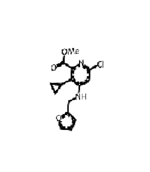 COC(=O)c1nc(Cl)cc(NCc2ccco2)c1C1CC1